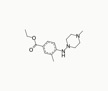 CCOC(=O)c1ccc(NN2CCN(C)CC2)c(C)c1